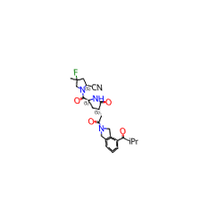 CC(C)C(=O)c1cccc2c1CN(C(=O)C[C@@H]1C[C@@H](C(=O)N3CC(C)(F)C[C@H]3C#N)NC1=O)C2